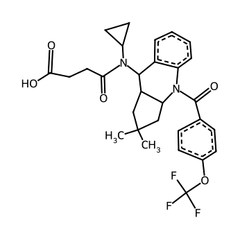 CC1(C)CC2C(C1)N(C(=O)c1ccc(OC(F)(F)F)cc1)c1ccccc1C2N(C(=O)CCC(=O)O)C1CC1